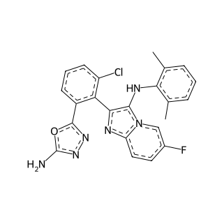 Cc1cccc(C)c1Nc1c(-c2c(Cl)cccc2-c2nnc(N)o2)nc2ccc(F)cn12